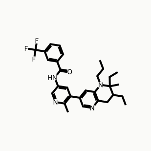 CCCN1c2cc(-c3cc(NC(=O)c4cccc(C(F)(F)F)c4)cnc3C)cnc2CC(CC)C1(C)CC